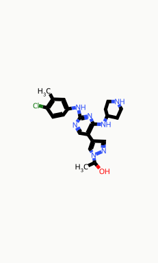 Cc1cc(Nc2ncc(-c3cnn(C(C)O)c3)c(NC3CCNCC3)n2)ccc1Cl